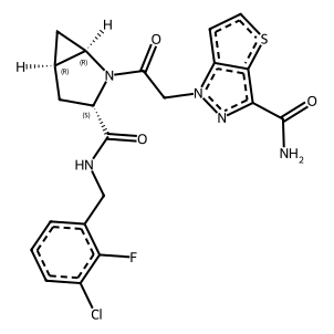 NC(=O)c1nn(CC(=O)N2[C@@H]3C[C@@H]3C[C@H]2C(=O)NCc2cccc(Cl)c2F)c2ccsc12